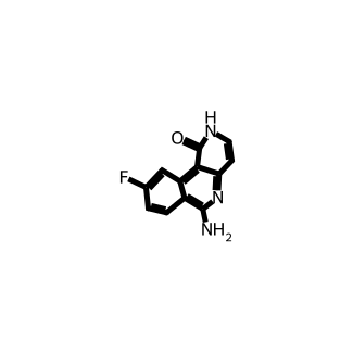 Nc1nc2cc[nH]c(=O)c2c2cc(F)ccc12